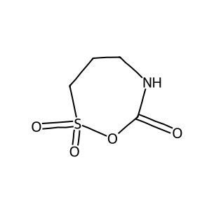 O=C1NCCCS(=O)(=O)O1